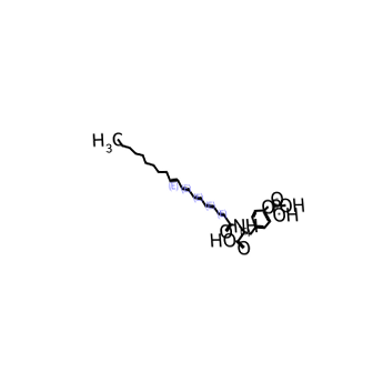 CCCCCCCCC/C=C/C=C/C=C/C=C/C=C/C(=O)N[C@@H](Cc1ccc(OP(=O)(O)O)cc1)C(=O)O